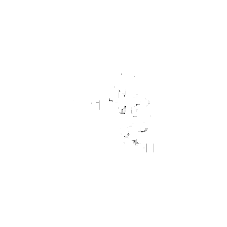 CCCCCCCC(=O)N1CCCCC1C(=O)OC1COC2C(O)COC12